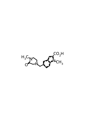 CN1CCN(Cc2ccc3c(c2)cc(C(=O)O)n3C)CC1=O